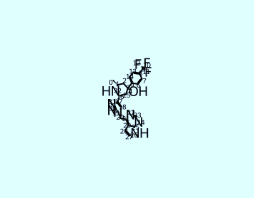 C[C@H]1CC(O)(c2ccc(C(F)(F)F)cc2)C[C@@H](c2cn(Cc3ncnc4[nH]ccc34)nn2)N1